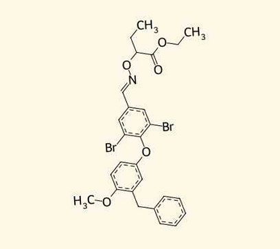 CCOC(=O)C(CC)ON=Cc1cc(Br)c(Oc2ccc(OC)c(Cc3ccccc3)c2)c(Br)c1